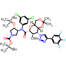 CO[C@@H]1[C@@H](n2cc(-c3cc(F)c(F)c(F)c3)nn2)[C@H]2OC(C)(C)OC[C@H]2O[C@H]1C(=O)N(c1cc(Cl)cc(Cl)c1)[C@H]1CN(C(=O)O[Si](C)(C)C(C)(C)C)C[C@@H]1O[Si](C)(C)C(C)(C)C